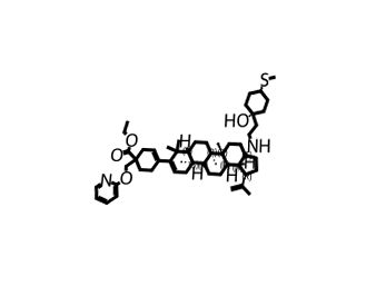 C=C(C)[C@@H]1CC[C@]2(NCC[C@]3(O)CC[C@H](SC)CC3)CC[C@]3(C)[C@H](CC[C@@H]4[C@@]5(C)CC=C(C6=CCC(COc7ccccn7)(C(=O)OCC)CC6)C(C)(C)[C@@H]5CC[C@]43C)[C@@H]12